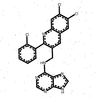 Clc1cc2cc(CNc3ncnc4[nH]cnc34)c(-c3ccccc3Cl)nc2cc1Cl